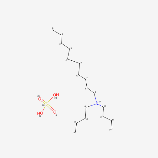 CCCCCCCCCCN(CCCC)CCCC.O=S(=O)(O)O